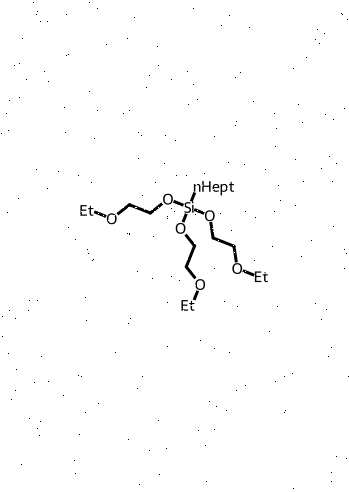 CCCCCCC[Si](OCCOCC)(OCCOCC)OCCOCC